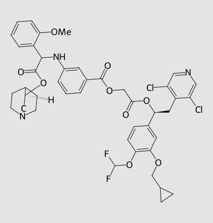 COc1ccccc1C(Nc1cccc(C(=O)OCC(=O)O[C@@H](Cc2c(Cl)cncc2Cl)c2ccc(OC(F)F)c(OCC3CC3)c2)c1)C(=O)O[C@H]1CN2CCC1CC2